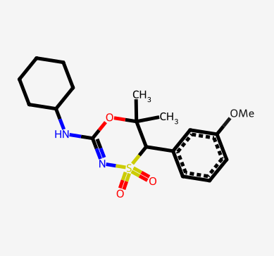 COc1cccc(C2C(C)(C)OC(NC3CCCCC3)=NS2(=O)=O)c1